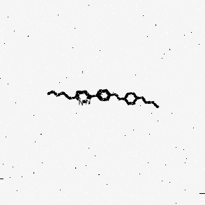 CCCCCc1ccc(-c2ccc(CCC3CCC(CCCC)CC3)cc2)nn1